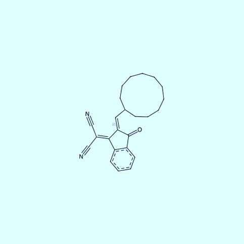 N#CC(C#N)=C1/C(=C/C2CCCCCCCCCC2)C(=O)c2ccccc21